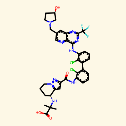 CC(C)(N[C@@H]1CCCn2nc(C(=O)Nc3cccc(-c4cccc(Nc5nc(C(F)(F)F)nc6cc(CN7CC[C@@H](O)C7)cnc56)c4Cl)c3Cl)cc21)C(=O)O